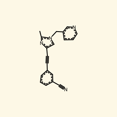 Cc1nc(C#Cc2cccc(C#N)c2)cn1Cc1cccnc1